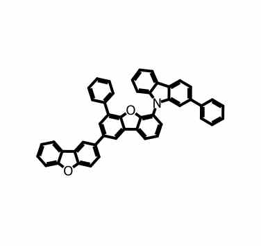 c1ccc(-c2ccc3c4ccccc4n(-c4cccc5c4oc4c(-c6ccccc6)cc(-c6ccc7oc8ccccc8c7c6)cc45)c3c2)cc1